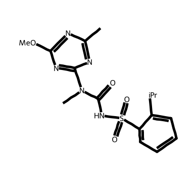 COc1nc(C)nc(N(C)C(=O)NS(=O)(=O)c2ccccc2C(C)C)n1